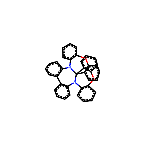 c1ccc2c(c1)Oc1ccccc1C13c4ccccc4Oc4ccccc4N1c1ccccc1-c1ccccc1N23